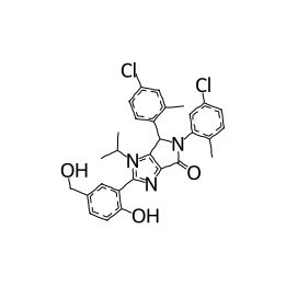 Cc1cc(Cl)ccc1C1c2c(nc(-c3cc(CO)ccc3O)n2C(C)C)C(=O)N1c1cc(Cl)ccc1C